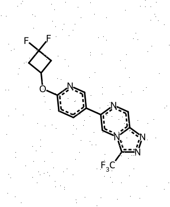 FC1(F)CC(Oc2ccc(-c3cn4c(C(F)(F)F)nnc4cn3)cn2)C1